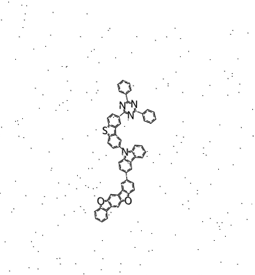 c1ccc(-c2nc(-c3ccccc3)nc(-c3ccc4sc5ccc(-n6c7ccccc7c7cc(-c8ccc9oc%10cc%11c(cc%10c9c8)oc8ccccc8%11)ccc76)cc5c4c3)n2)cc1